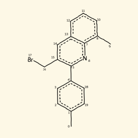 Cc1ccc(-c2nc3c(C)cccc3cc2CBr)cc1